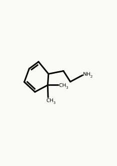 CC1(C)C=CC=CC1CCN